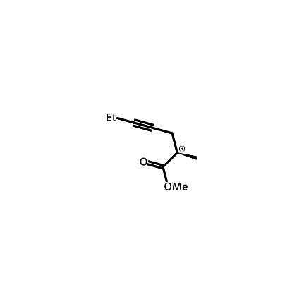 CCC#CC[C@@H](C)C(=O)OC